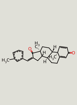 Cc1cccc(C=C2C[C@H]3[C@@H]4CCC5=CC(=O)C=C[C@]5(C)[C@H]4CC[C@]3(C)C2=O)c1